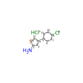 Cl.Nc1cc(-c2ccc(Cl)cc2)cs1